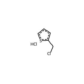 Cl.ClCc1cccs1